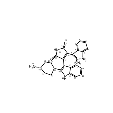 Cc1[nH]c2ccccc2c1C1=C(c2c3ccccc3[nH]c2[C@H]2CC[C@H](N)CC2)C(=O)NC1=O